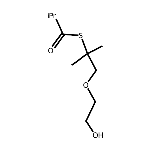 CC(C)C(=O)SC(C)(C)COCCO